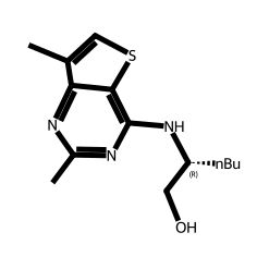 CCCC[C@H](CO)Nc1nc(C)nc2c(C)csc12